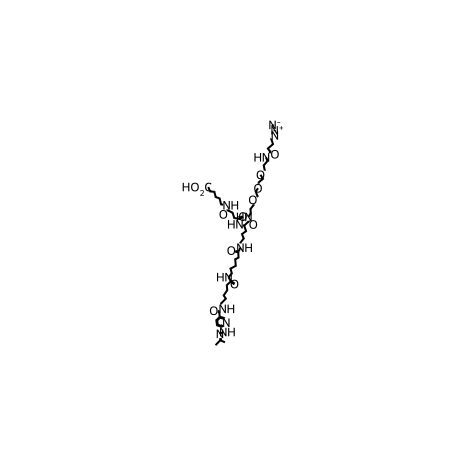 CC(C)=NNc1ccc(C(=O)NCCCCCC(=O)NCCCCCC(=O)NCCCCC(NC(=O)CCC(=O)NCCCCCC(=O)O)C(=O)NCCCOCCOCCOCCCNC(=O)CCCN=[N+]=[N-])cn1